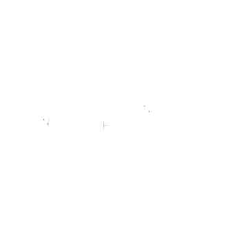 C=Nc1ccc2c(c1)B1c3c(cccc3-n3c4ccccc4c4cccc1c43)O2